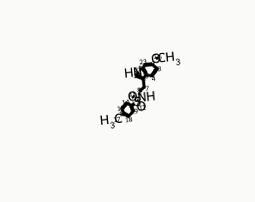 COc1ccc2c(CCNS(=O)(=O)c3ccc(C)cc3)c[nH]c2c1